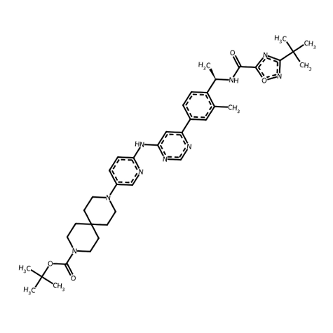 Cc1cc(-c2cc(Nc3ccc(N4CCC5(CCN(C(=O)OC(C)(C)C)CC5)CC4)cn3)ncn2)ccc1[C@@H](C)NC(=O)c1nc(C(C)(C)C)no1